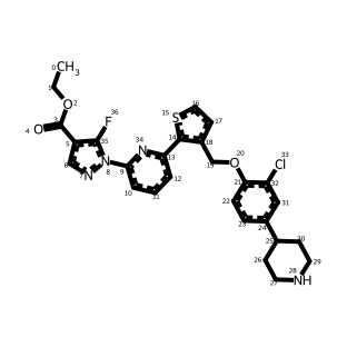 CCOC(=O)c1cnn(-c2cccc(-c3sccc3COc3ccc(C4CCNCC4)cc3Cl)n2)c1F